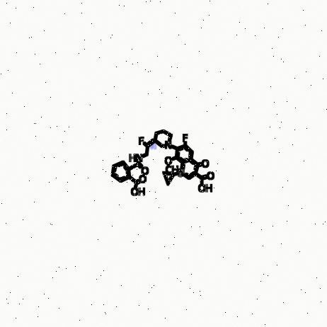 COc1c(N2CCC/C(=C(\F)CNC(=O)c3ccccc3C(=O)O)C2)c(F)cc2c(=O)c(C(=O)O)cn(C3CC3)c12